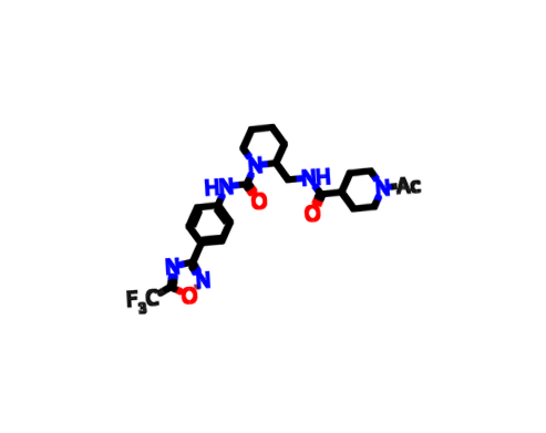 CC(=O)N1CCC(C(=O)NCC2CCCCN2C(=O)Nc2ccc(-c3noc(C(F)(F)F)n3)cc2)CC1